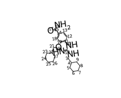 N=C(NCC1CCCCC1)Nc1ccc(C(N)=O)cc1OCC1CCCCC1